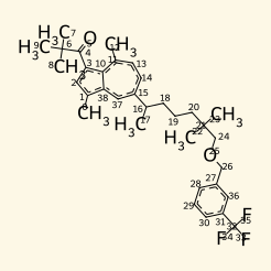 Cc1cc(C(=O)C(C)(C)C)c2c(C)ccc(C(C)CCCC(C)(C)COCc3cccc(C(F)(F)F)c3)cc1-2